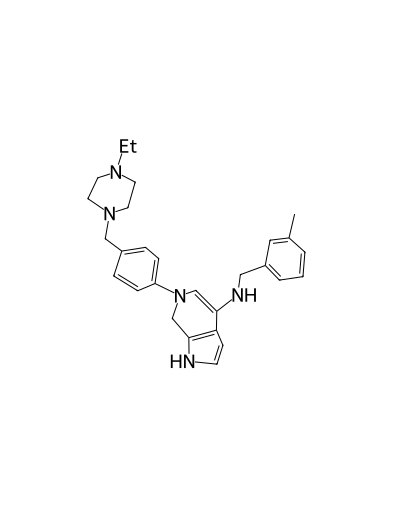 CCN1CCN(Cc2ccc(N3C=C(NCc4cccc(C)c4)c4cc[nH]c4C3)cc2)CC1